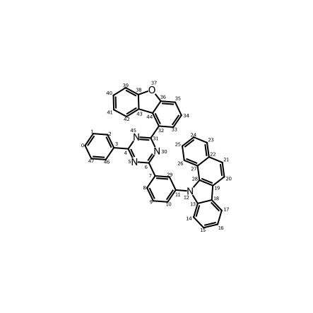 c1ccc(-c2nc(-c3cccc(-n4c5ccccc5c5ccc6ccccc6c54)c3)nc(-c3cccc4oc5ccccc5c34)n2)cc1